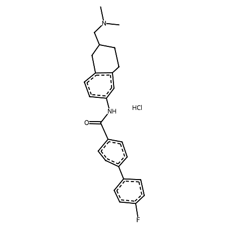 CN(C)CC1CCc2cc(NC(=O)c3ccc(-c4ccc(F)cc4)cc3)ccc2C1.Cl